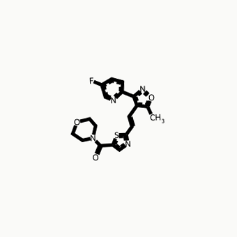 Cc1onc(-c2ccc(F)cn2)c1/C=C/c1ncc(C(=O)N2CCOCC2)s1